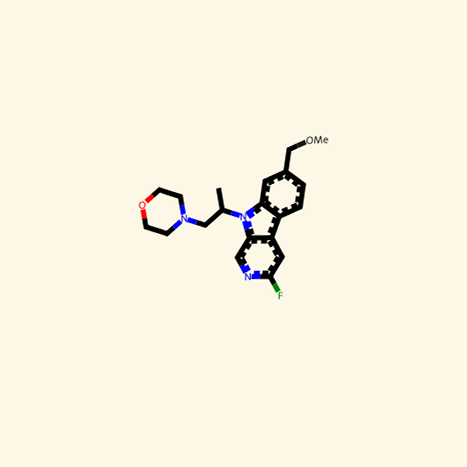 COCc1ccc2c3cc(F)ncc3n(C(C)CN3CCOCC3)c2c1